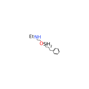 CCNCCO[SiH2]CCCc1ccccc1